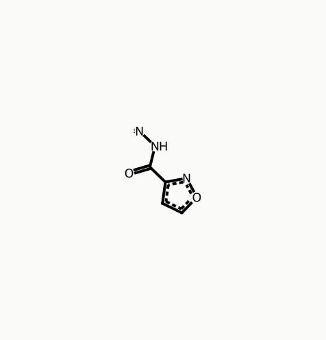 [N]NC(=O)c1ccon1